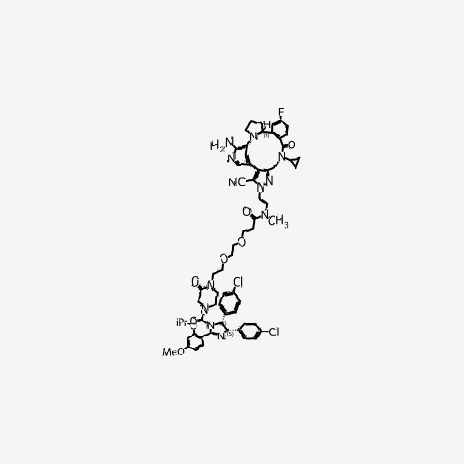 COc1ccc(C2=N[C@@H](c3ccc(Cl)cc3)[C@@H](c3ccc(Cl)cc3)N2C(=O)N2CCN(CCOCCOCCC(=O)N(C)CCn3nc4c(c3C#N)-c3cnc(N)c(c3)N3CCC[C@@H]3c3cc(F)ccc3C(=O)N(C3CC3)C4)C(=O)C2)c(OC(C)C)c1